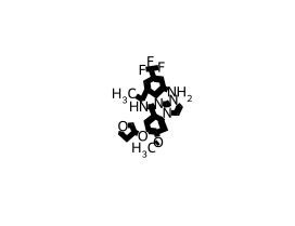 COc1cc2c(cc1OC1CCOC1)c(NC(C)c1cc(N)cc(C(F)(F)F)c1)nc1nccn12